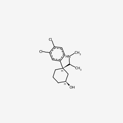 CNC(C)[C@]1(c2ccc(Cl)c(Cl)c2)CCC[C@H](O)C1